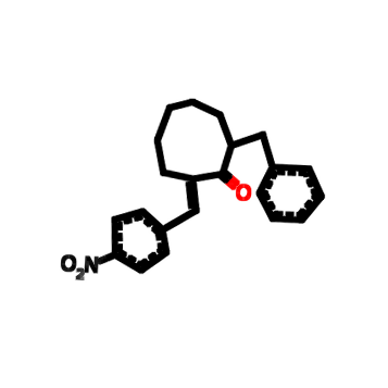 O=C1/C(=C/c2ccc([N+](=O)[O-])cc2)CCCCCC1Cc1ccccc1